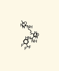 Cc1nnc(NCCSc2nonc2C(=N)Nc2ccc(F)c(C(F)F)c2)o1